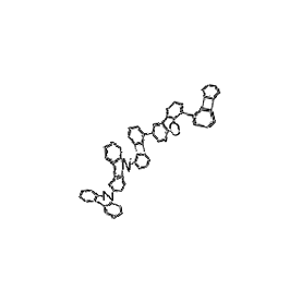 c1ccc2c(c1)-c1cccc(-c3cccc4c3oc3ccc(-c5cccc6c5-c5cccc(-n7c8ccccc8c8cc(-n9c%10ccccc%10c%10ccccc%109)ccc87)c5-6)cc34)c1-2